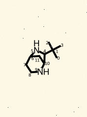 CC(C)(C)C1NC2CCNC1C2